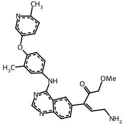 COCC(=O)C(=CCN)c1ccc2ncnc(Nc3ccc(Oc4ccc(C)nc4)c(C)c3)c2c1